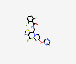 O=C(NCC(c1scnc1C(F)F)N1CCC(Oc2cncc(F)n2)CC1)c1c(F)cccc1Cl